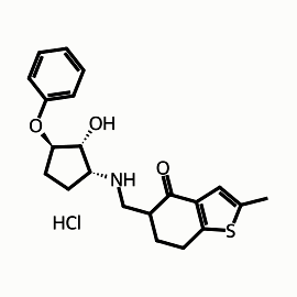 Cc1cc2c(s1)CCC(CN[C@@H]1CC[C@@H](Oc3ccccc3)[C@@H]1O)C2=O.Cl